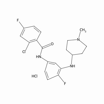 CN1CCC(Nc2cc(NC(=O)c3ccc(F)cc3Cl)ccc2F)CC1.Cl